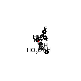 O=C(CC(c1ccc(F)cc1)c1ccc(F)cc1)Nc1cncc(F)c1CC[C@@H]1CN[C@@H](CN(CCNc2ccccc2)C(=O)O)CO1